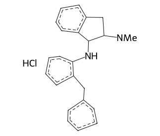 CNC1Cc2ccccc2C1Nc1ccccc1Cc1ccccc1.Cl